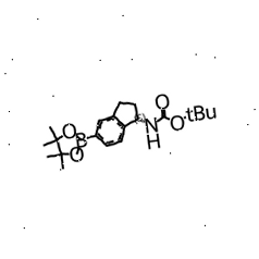 CC(C)(C)OC(=O)N[C@H]1CCc2cc(B3OC(C)(C)C(C)(C)O3)ccc21